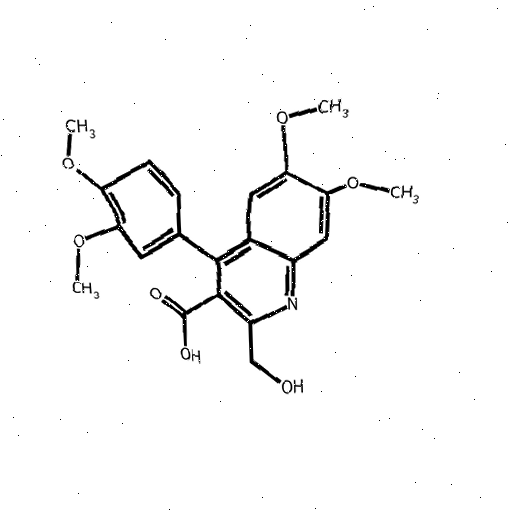 COc1ccc(-c2c(C(=O)O)c(CO)nc3cc(OC)c(OC)cc23)cc1OC